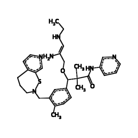 CCN/C=C(\N)COC(c1ccc(C)c(CN2CCCc3ccncc3S2)c1)C(C)(C)C(=O)Nc1cccnc1